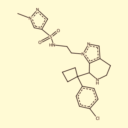 Cn1cc(S(=O)(=O)NCCn2ncc3c2C(C2(c4ccc(Cl)cc4)CCC2)NCC3)cn1